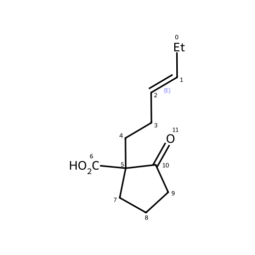 CC/C=C/CCC1(C(=O)O)CCCC1=O